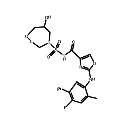 Cc1cc(F)c(C(C)C)cc1Nc1nc(C(=O)NS(=O)(=O)N2CCOCC(O)C2)co1